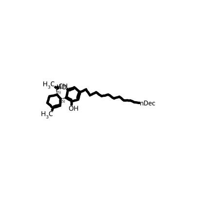 C=C(C)[C@H]1CCC(C)=C[C@H]1c1c(O)cc(CCCCCCCCCCCCCCCCCCCC)cc1O